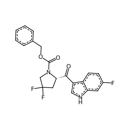 O=C(c1c[nH]c2cc(F)ccc12)[C@@H]1CC(F)(F)CN1C(=O)OCc1ccccc1